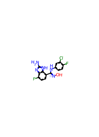 Nc1nc2c(F)ccc(/C(=N/O)Nc3ccc(F)c(Cl)c3)c2[nH]1